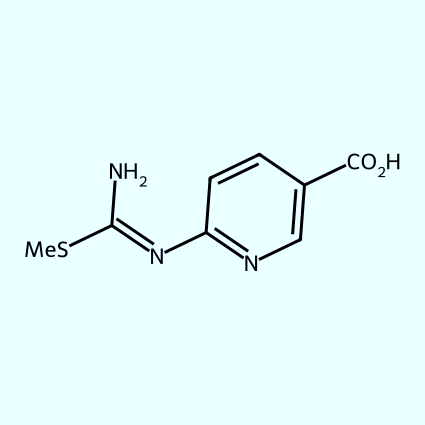 CSC(N)=Nc1ccc(C(=O)O)cn1